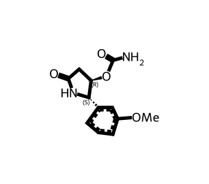 COc1cccc([C@@H]2NC(=O)C[C@H]2OC(N)=O)c1